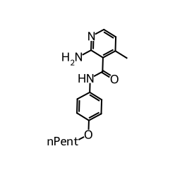 CCCCCOc1ccc(NC(=O)c2c(C)ccnc2N)cc1